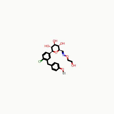 CCOc1ccc(Cc2cc([C@@H]3O[C@H](C=NOCCO)[C@@H](O)[C@H](O)[C@H]3O)ccc2Cl)cc1